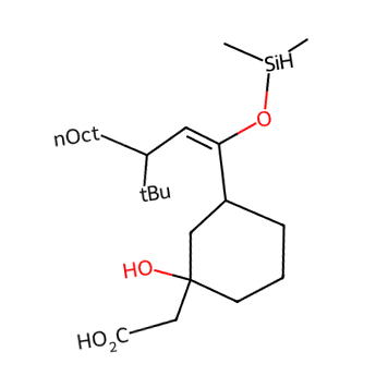 CCCCCCCCC(/C=C(/O[SiH](C)C)C1CCCC(O)(CC(=O)O)C1)C(C)(C)C